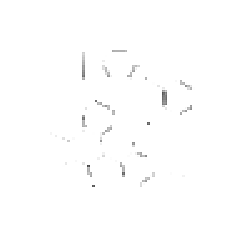 CCC(=N)C(c1ccccc1CN)c1ccccc1CN.FC(F)(F)c1ccc2c(c1)C2c1ccccc1.N